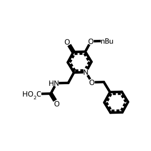 CCCCOc1cn(OCc2ccccc2)c(CNC(=O)C(=O)O)cc1=O